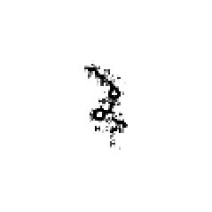 CC(C)n1nccc1C(=O)N[C@H](c1nc2ccc([C@@H](C)NC(=O)CCC(F)(F)F)cc2[nH]1)C1CCC(F)(F)CC1